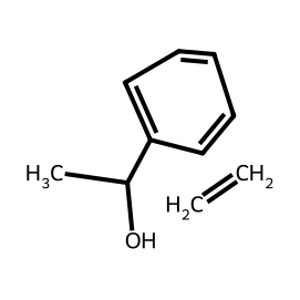 C=C.CC(O)c1ccccc1